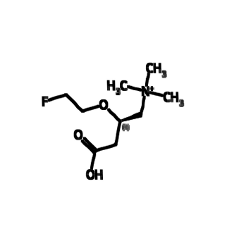 C[N+](C)(C)C[C@@H](CC(=O)O)OCCF